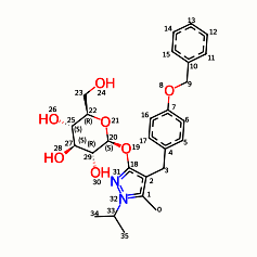 Cc1c(Cc2ccc(OCc3ccccc3)cc2)c(O[C@@H]2O[C@H](CO)[C@@H](O)[C@H](O)[C@H]2O)nn1C(C)C